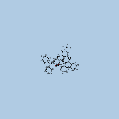 CC(C)(C)c1cc2c3c(c1)Oc1c(c4ccccc4c4ccccc14)B3c1c(cc(N(c3ccccc3)c3ccccc3)c3ccccc13)O2